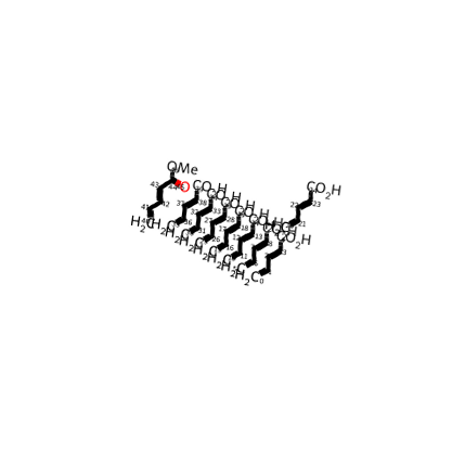 C=CC=CC(=O)O.C=CC=CC(=O)O.C=CC=CC(=O)O.C=CC=CC(=O)O.C=CC=CC(=O)O.C=CC=CC(=O)O.C=CC=CC(=O)O.C=CC=CC(=O)O.C=CC=CC(=O)OC